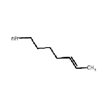 C/C=C/C[CH]CCCCC